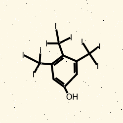 Oc1cc(C(I)(I)I)c(C(I)(I)I)c(C(I)(I)I)c1